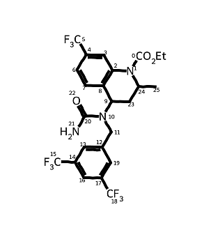 CCOC(=O)N1c2cc(C(F)(F)F)ccc2C(N(Cc2cc(C(F)(F)F)cc(C(F)(F)F)c2)C(N)=O)CC1C